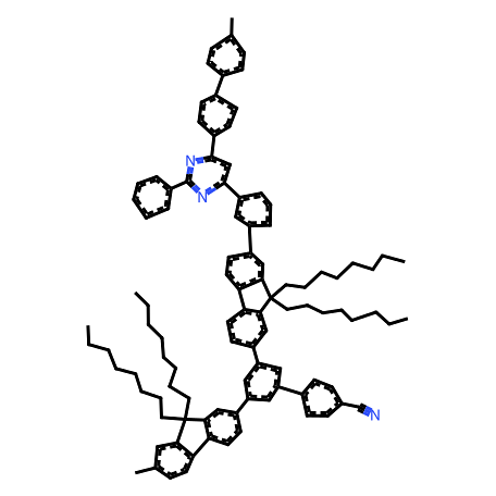 CCCCCCCCC1(CCCCCCCC)c2cc(C)ccc2-c2ccc(-c3cc(-c4ccc(C#N)cc4)cc(-c4ccc5c(c4)C(CCCCCCCC)(CCCCCCCC)c4cc(-c6cccc(-c7cc(-c8ccc(-c9ccc(C)cc9)cc8)nc(-c8ccccc8)n7)c6)ccc4-5)c3)cc21